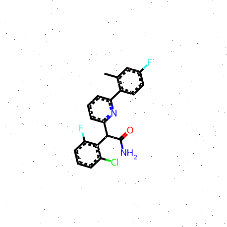 Cc1cc(F)ccc1-c1cccc(C(C(N)=O)c2c(F)cccc2Cl)n1